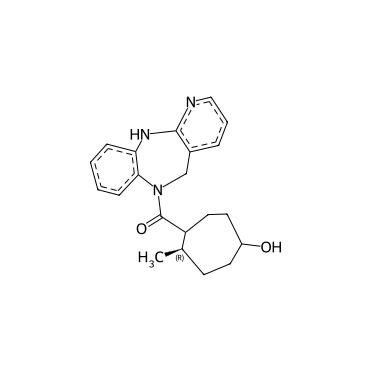 C[C@@H]1CCC(O)CCC1C(=O)N1Cc2cccnc2Nc2ccccc21